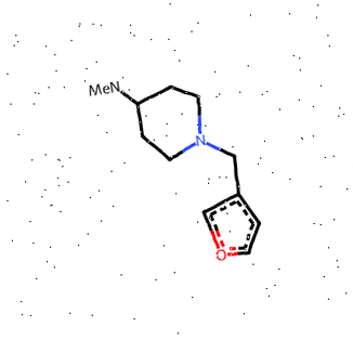 CNC1CCN(Cc2ccoc2)CC1